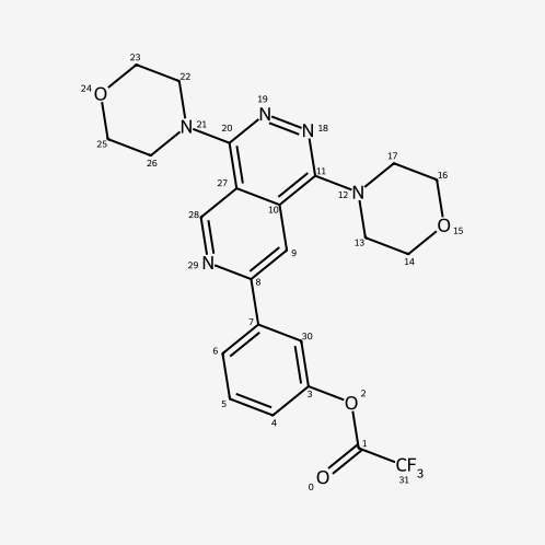 O=C(Oc1cccc(-c2cc3c(N4CCOCC4)nnc(N4CCOCC4)c3cn2)c1)C(F)(F)F